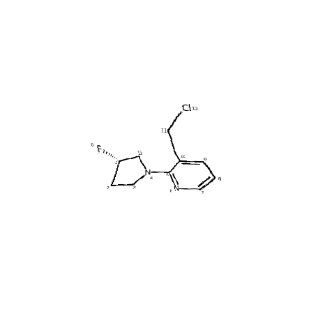 F[C@H]1CCN(c2ncccc2CCl)C1